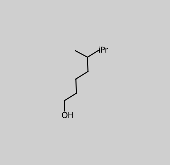 CC(C)C(C)CCCCO